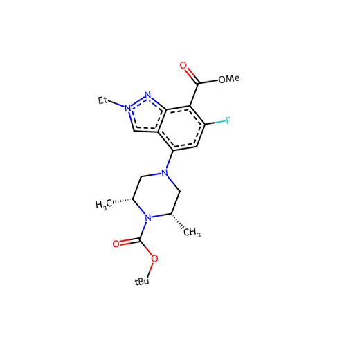 CCn1cc2c(N3C[C@@H](C)N(C(=O)OC(C)(C)C)[C@@H](C)C3)cc(F)c(C(=O)OC)c2n1